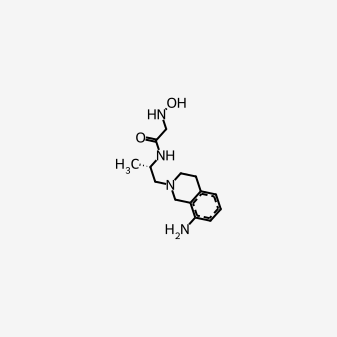 C[C@@H](CN1CCc2cccc(N)c2C1)NC(=O)CNO